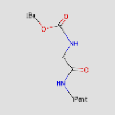 CCCC(C)NC(=O)CNC(=O)OC(C)(C)C